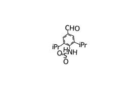 CC(C)c1cc(C=O)cc(C(C)C)c1N[SH](=O)=O